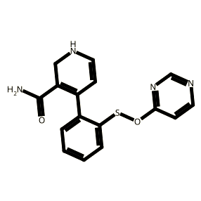 NC(=O)C1=C(c2ccccc2SOc2ccncn2)C=CNC1